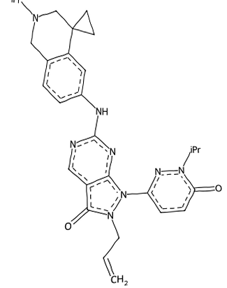 C=CCn1c(=O)c2cnc(Nc3ccc4c(c3)C3(CC3)CN(C(C)C)C4)nc2n1-c1ccc(=O)n(C(C)C)n1